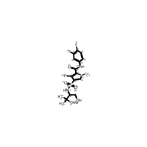 COC(C)(C)C(CO)NS(=O)(=O)c1cn(C)c(C(=O)Nc2ccc(F)c(F)c2)c1F